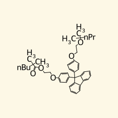 CCCCC(C)(C)C(=O)OCCOc1ccc(C2(c3ccc(OCCOC(C)(C)CCC)cc3)c3ccccc3-c3ccccc32)cc1